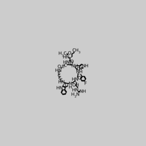 CCCC[C@H](NC(C)=O)C(=O)N[C@H]1CCC(=O)NCCCCNC(=O)[C@H](Cc2c[nH]c3ccccc23)NC(O)[C@H](CCCNC(=N)N)NC(=O)[C@@H](Cc2ccc(F)cc2)NC(=O)[C@H](Cc2c[nH]cn2)NC1=O